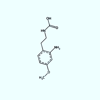 COc1ccc(CCNC(=O)O)c(N)c1